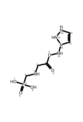 O=C(CNCP(=O)(O)O)ONN1C=CNN1